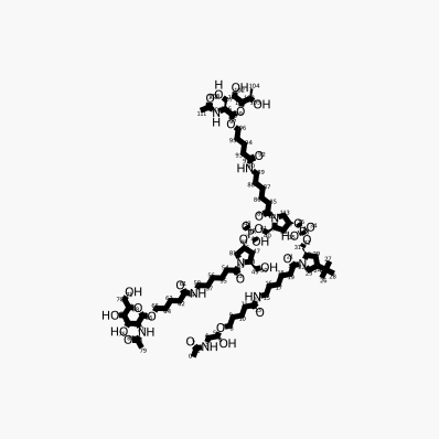 CC(=O)NC[C@@H](O)OCCCCC(=O)NCCCCCC(=O)N1CC(C(C)(C)C)C[C@H]1COP(=O)(O)O[C@@H]1C[C@@H](COP(=O)(O)O[C@@H]2C[C@@H](CO)N(C(=O)CCCCCNC(=O)CCCCOC3OC(CO)C(O)C(O)C3NC(C)=O)C2)N(C(=O)CCCCCNC(=O)CCCCOC(OC(CO)[C@@H](C)O)[C@H](CO)NC(C)=O)C1